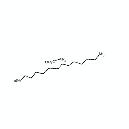 CC(=O)O.CCCCCCCCCCCCCCCCCCCCCCN